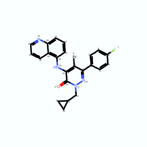 CC(=O)c1c(-c2ccc(F)cc2)nn(CC2CC2)c(=O)c1Nc1cccc2ncccc12